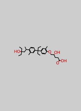 CCC(O)(CC)CC(C)c1ccc(C(CC)(CC)c2ccc(OCC(O)CCC(=O)O)c(C)c2)cc1C